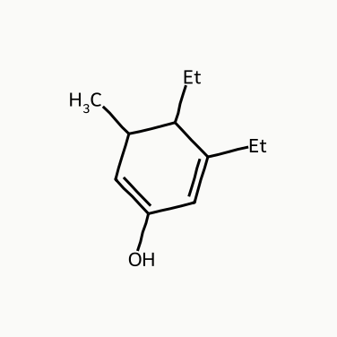 CCC1=CC(O)=CC(C)C1CC